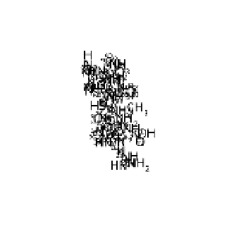 CCCC[C@H](NC(=O)[C@H](CCC(=O)O)NC(=O)[C@@H](CCCNC(=N)N)NC(=O)[C@@H]1CCCN1C(=O)[C@@H]1CCCN1C(=O)[C@H]1NC([C@H](Cc2c[nH]c3ccccc23)NC(=O)[C@H](Cc2c[nH]cn2)NC(=O)[C@@H](Cc2ccccc2)NC(=O)[C@H](Cc2c[nH]cn2)NC(=O)[C@@H]2CCCN2)=C1S)C(N)=O